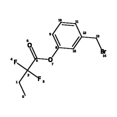 CCC(F)(F)C(=O)Oc1cccc(CBr)c1